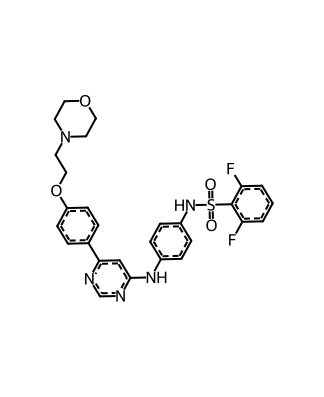 O=S(=O)(Nc1ccc(Nc2cc(-c3ccc(OCCN4CCOCC4)cc3)ncn2)cc1)c1c(F)cccc1F